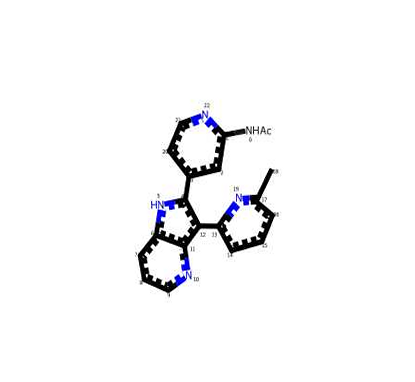 CC(=O)Nc1cc(-c2[nH]c3cccnc3c2-c2cccc(C)n2)ccn1